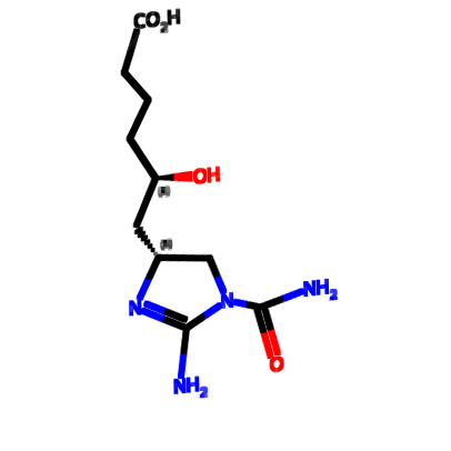 NC(=O)N1C[C@@H](C[C@H](O)CCCC(=O)O)N=C1N